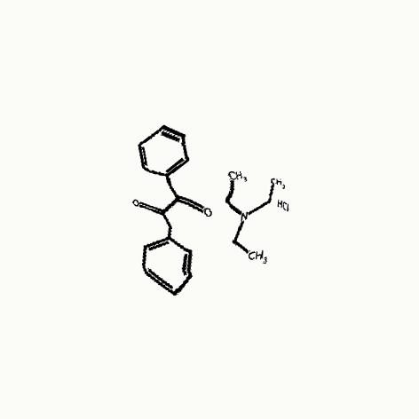 CCN(CC)CC.Cl.O=C(C(=O)c1ccccc1)c1ccccc1